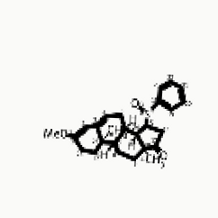 COC1=CC2=CC[C@@H]3[C@H](CC[C@]4(C)C(=O)CC([S+]([O-])c5ccccc5)[C@@H]34)[C@@]2(C)CC1